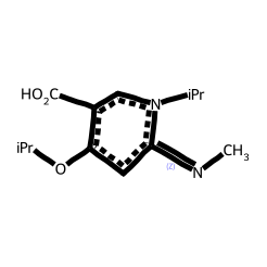 C/N=c1/cc(OC(C)C)c(C(=O)O)cn1C(C)C